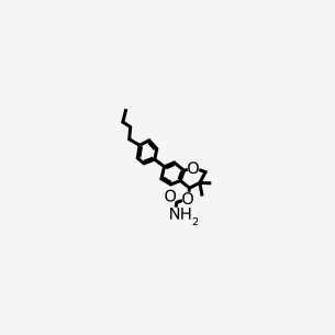 CCCCc1ccc(-c2ccc3c(c2)OCC(C)(C)C3OC(N)=O)cc1